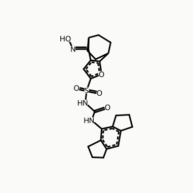 O=C(Nc1c2c(cc3c1CCC3)CCC2)NS(=O)(=O)c1cc2c(o1)C1CCC(CC1)C2=NO